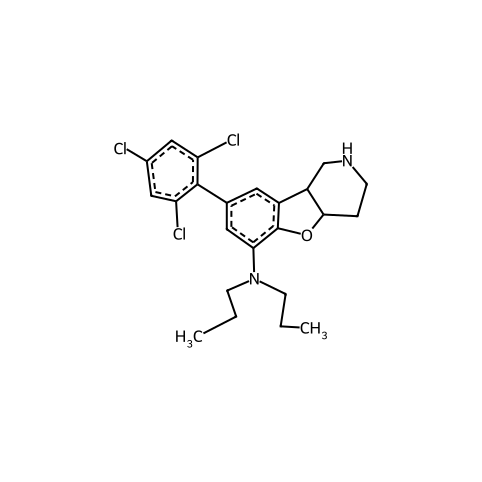 CCCN(CCC)c1cc(-c2c(Cl)cc(Cl)cc2Cl)cc2c1OC1CCNCC21